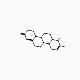 C[C@]12CCC(=O)C=C1CC[C@@H]1[C@@H]2CC[C@]2(C)C(O)C(Cl)=CC[C@@H]12